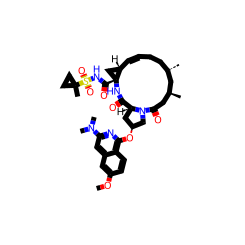 COc1ccc2c(O[C@@H]3C[C@H]4C(=O)N[C@]5(C(=O)NS(=O)(=O)C6(C)CC6)C[C@H]5/C=C\CC[C@H](C)C[C@@H](C)CC(=O)N4C3)nc(N(C)C)cc2c1